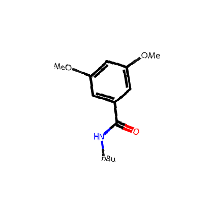 CCCCNC(=O)c1cc(OC)cc(OC)c1